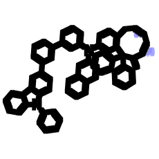 C=C1/C=C\C=C/Cc2ccc(N(c3cccc(-c4cccc(-c5ccc6c(c5)c5ccccc5n6-c5ccccc5)c4)c3)c3ccc4ccccc4c3)cc2C1(c1ccccc1)c1ccccc1